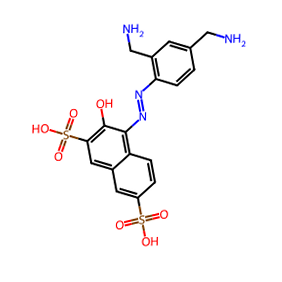 NCc1ccc(N=Nc2c(O)c(S(=O)(=O)O)cc3cc(S(=O)(=O)O)ccc23)c(CN)c1